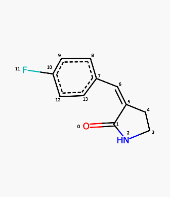 O=C1NCCC1=Cc1ccc(F)cc1